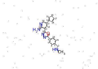 CNCc1ccc(-c2nnc(-c3cc(C4=CCC=C4)cnc3N)o2)cc1